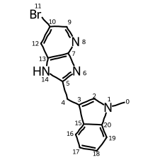 Cn1cc(Cc2nc3ncc(Br)cc3[nH]2)c2ccccc21